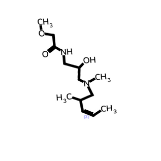 C/C=C\C(C)CN(C)CC(O)CNC(=O)COC